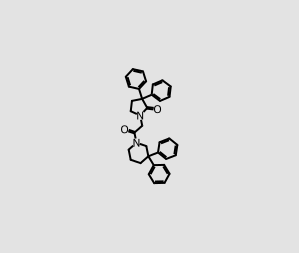 O=C(CN1CCC(c2ccccc2)(c2ccccc2)C1=O)N1CCCC(c2ccccc2)(c2ccccc2)C1